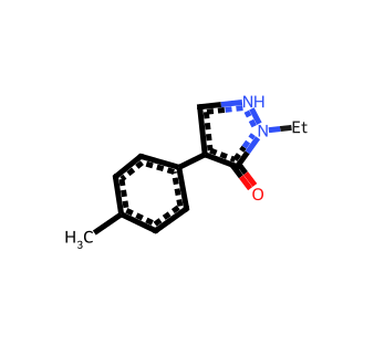 CCn1[nH]cc(-c2ccc(C)cc2)c1=O